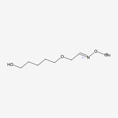 CC(C)(C)O/N=C/COCCCCCO